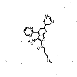 COCCC[S@@+]([O-])c1sc2nc(-c3cncnc3)cc(-c3ncccn3)c2c1N